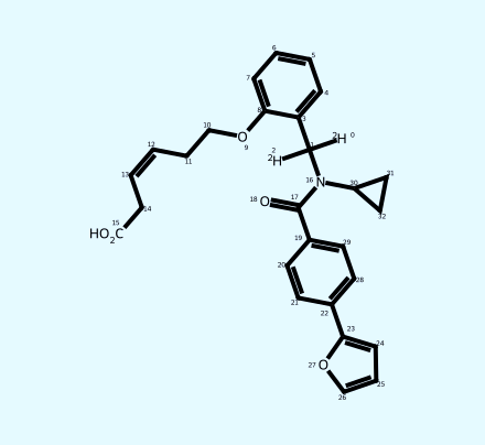 [2H]C([2H])(c1ccccc1OCC/C=C\CC(=O)O)N(C(=O)c1ccc(-c2ccco2)cc1)C1CC1